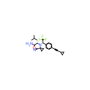 CC(C)C[C@@H](C(N)=O)N([C@@H](c1ccc(C#CC2CC2)cc1)C(F)(F)F)C1(C#N)CC1